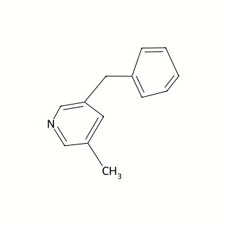 Cc1cncc(Cc2ccccc2)c1